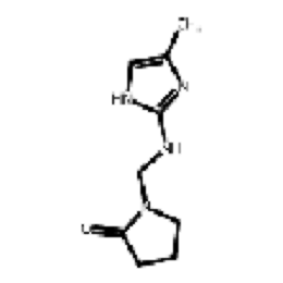 Cc1c[nH]c(NCN2CCCC2=O)n1